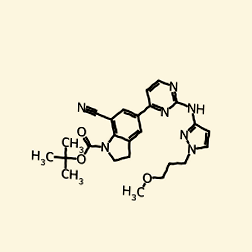 COCCCn1ccc(Nc2nccc(-c3cc(C#N)c4c(c3)CCN4C(=O)OC(C)(C)C)n2)n1